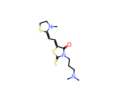 CN(C)CCCN1C(=O)C(=CC=C2SCCN2C)SC1=S